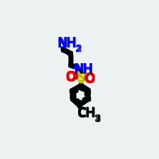 Cc1ccc(S(=O)(=O)NCCCN)cc1